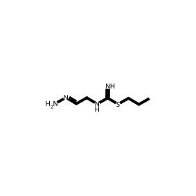 CCCSC(=N)NCC=NN